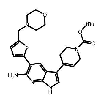 CC(C)(C)OC(=O)N1CC=C(c2c[nH]c3nc(N)c(-c4ccc(CN5CCOCC5)s4)cc23)CC1